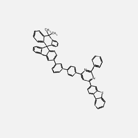 CC1(C)c2ccccc2C2(c3ccccc3-c3cc(-c4cccc(-c5ccc(-c6cc(-c7ccc8c(c7)sc7ccccc78)nc(-c7ccccc7)n6)cc5)c4)ccc32)c2ccccc21